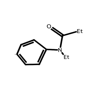 CCC(=O)N(CC)c1cc[c]cc1